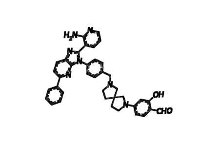 Nc1ncccc1-c1nc2ccc(-c3ccccc3)nc2n1-c1ccc(CN2CCC3(CCN(c4ccc(C=O)c(O)c4)C3)C2)cc1